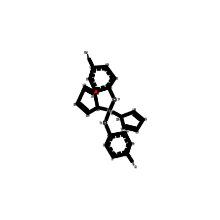 Ic1ccc([O][Zr]([O]c2ccc(I)cc2)([CH]2C=CC=C2)[CH]2C=CC=C2)cc1